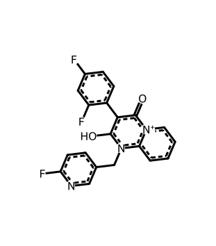 O=c1c(-c2ccc(F)cc2F)c(O)n(Cc2ccc(F)nc2)c2cccc[n+]12